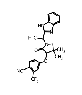 CC(c1nc2ccccc2[nH]1)N1CC(C)(C)C(Oc2ccc(C#N)c(C(F)(F)F)c2)C1=O